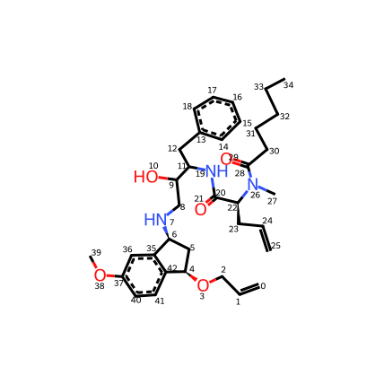 C=CCO[C@@H]1C[C@H](NCC(O)C(Cc2ccccc2)NC(=O)[C@H](CC=C)N(C)C(=O)CCCCC)c2cc(OC)ccc21